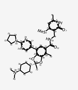 CSc1cc(C)[nH]c(=O)c1CNC(=O)c1cc(-c2cnc(N3CCCC3)nc2)c2c(c1C)OC(C)([C@H]1CC[C@H](N(C)C)CC1)O2